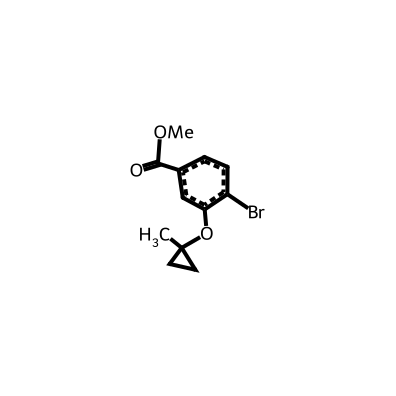 COC(=O)c1ccc(Br)c(OC2(C)CC2)c1